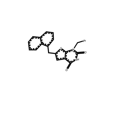 CC(C)Cn1c(=O)[nH]c(=O)c2cc(Cc3cccc4ccccc34)sc21